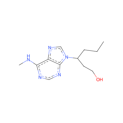 CCCC(CCO)n1cnc2c(NC)ncnc21